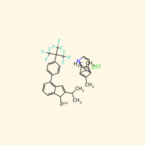 CC(C)C1=Cc2c(-c3ccc(C(C(F)(F)F)(C(F)(F)F)C(F)(F)F)cc3)cccc2[CH]1[Zr+2].CC1=C2C3=NC=CC3=C1[Si]2(C)C.[Cl-].[Cl-]